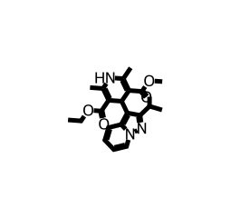 CCOC(=O)C1=C(C)NC(C)=C(C(=O)OC)C1c1c(C(C)C)nn2ccccc12